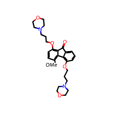 COc1ccc(OCCCN2CCOCC2)c2c1-c1c(OCCCN3CCOCC3)cccc1C2=O